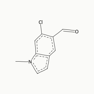 Cn1ccc2cc(C=O)c(Cl)cc21